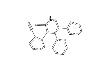 N#Cc1ccccc1-c1c(-c2ccccn2)c(-c2ccccc2)c[nH]c1=O